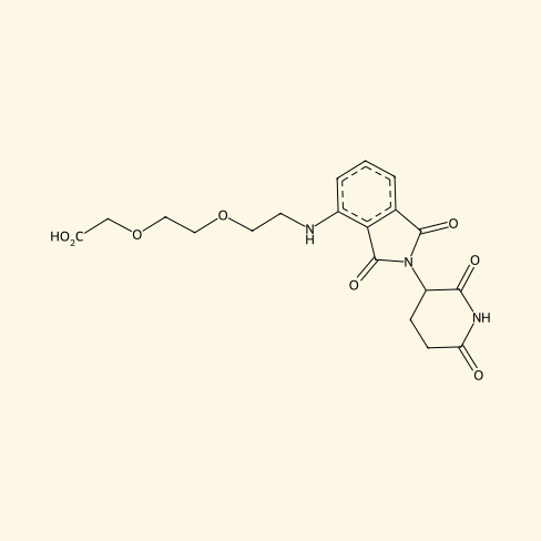 O=C(O)COCCOCCNc1cccc2c1C(=O)N(C1CCC(=O)NC1=O)C2=O